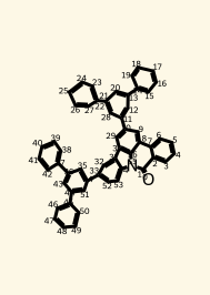 O=c1c2ccccc2c2cc(-c3cc(-c4ccccc4)cc(-c4ccccc4)c3)cc3c4cc(-c5cc(-c6ccccc6)cc(-c6ccccc6)c5)ccc4n1c23